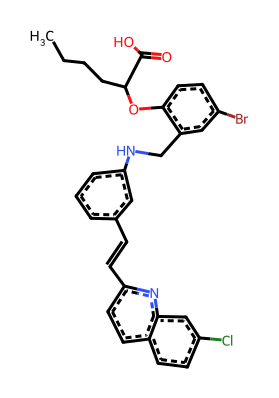 CCCCC(Oc1ccc(Br)cc1CNc1cccc(C=Cc2ccc3ccc(Cl)cc3n2)c1)C(=O)O